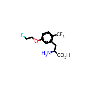 NC(Cc1cc(OCCF)ccc1C(F)(F)F)C(=O)O